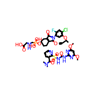 C#CC(C)Oc1cc(N2C(=O)C3=C(CCCC3)C2=O)c(F)cc1Cl.COc1cc(OC)nc(NC(=O)NS(=O)(=O)c2ncccc2C(=O)N(C)C)n1.O=C(O)CNCP(=O)(O)O